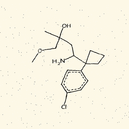 COCC(C)(O)CC(N)C1(c2ccc(Cl)cc2)CCC1